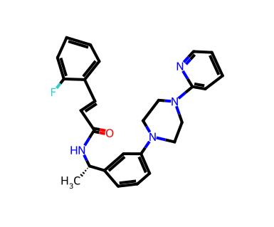 C[C@H](NC(=O)/C=C/c1ccccc1F)c1cccc(N2CCN(c3ccccn3)CC2)c1